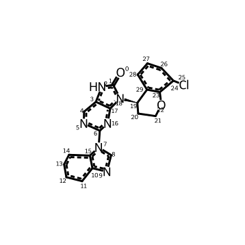 O=c1[nH]c2cnc(-n3cnc4ccccc43)nc2n1[C@@H]1CCOc2c(Cl)cccc21